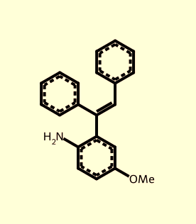 COc1ccc(N)c(C(=Cc2ccccc2)c2ccccc2)c1